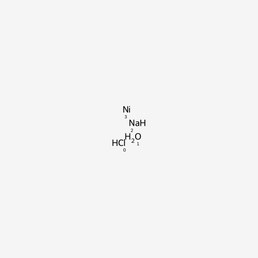 Cl.O.[NaH].[Ni]